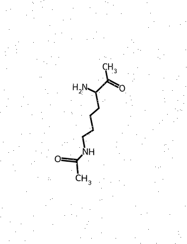 CC(=O)NCCCCC(N)C(C)=O